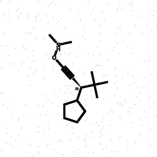 C[SiH](C)OC#C[C@@H](C1CCCC1)C(C)(C)C